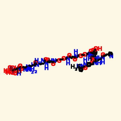 Cc1ccccc1NC(=O)Nc1ccc(CC(=O)N[C@@H](CCCCNC(=O)/C=C/c2cccnc2)C(=O)N[C@@H](CCCC(=O)O)C(=O)NC2(C(=O)NCCOCCOCCNC(=O)CCC(=O)NCCOCCOCCNC(=O)CCC(=O)N[C@@H](CCCCNC(=O)CCCCN(N)/C=C(\N)COC(=O)NCCCC(O)(P(=O)(O)O)P(=O)(O)O)C(N)=O)CCCCC2)cc1